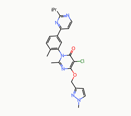 Cc1ccc(-c2ccnc(C(C)C)n2)cc1-n1c(C)nc(OCc2ccn(C)n2)c(Cl)c1=O